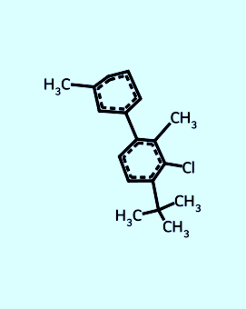 Cc1cccc(-c2ccc(C(C)(C)C)c(Cl)c2C)c1